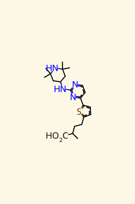 CC(CCc1ccc(-c2ccnc(NC3CC(C)(C)NC(C)(C)C3)n2)s1)C(=O)O